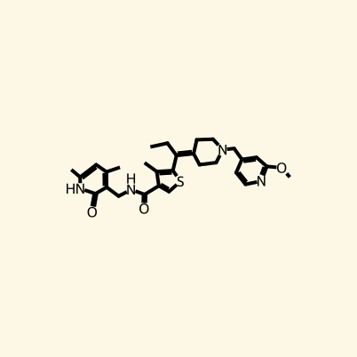 CCC(=C1CCN(Cc2ccnc(OC)c2)CC1)c1scc(C(=O)NCc2c(C)cc(C)[nH]c2=O)c1C